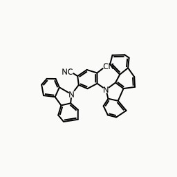 N#Cc1cc(C#N)c(-n2c3ccccc3c3ccc4ccccc4c32)cc1-n1c2ccccc2c2ccccc21